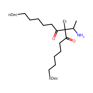 CCCCCCCCCCCCCCCC(=O)C(CC)(C(=O)CCCCCCCCCCCCCCC)C(C)N